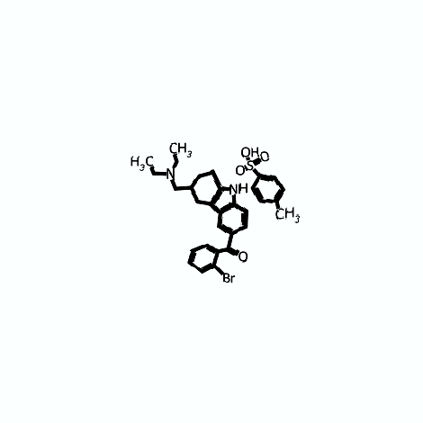 CCN(CC)CC1CCc2[nH]c3ccc(C(=O)c4ccccc4Br)cc3c2C1.Cc1ccc(S(=O)(=O)O)cc1